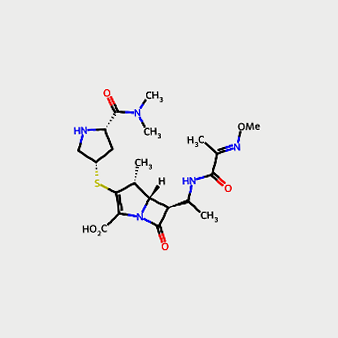 CO/N=C(\C)C(=O)NC(C)[C@H]1C(=O)N2C(C(=O)O)=C(S[C@@H]3CN[C@H](C(=O)N(C)C)C3)[C@H](C)[C@H]12